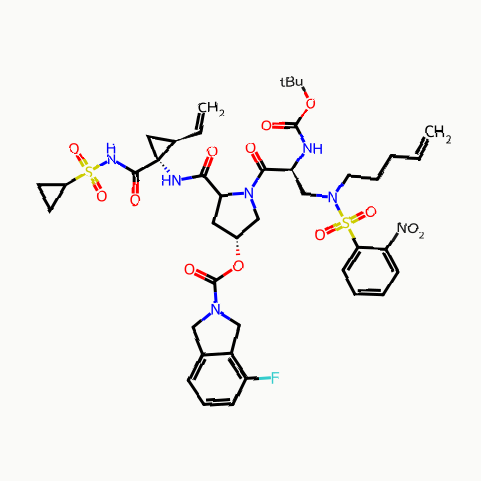 C=CCCCN(C[C@H](NC(=O)OC(C)(C)C)C(=O)N1C[C@H](OC(=O)N2Cc3cccc(F)c3C2)CC1C(=O)N[C@]1(C(=O)NS(=O)(=O)C2CC2)C[C@H]1C=C)S(=O)(=O)c1ccccc1[N+](=O)[O-]